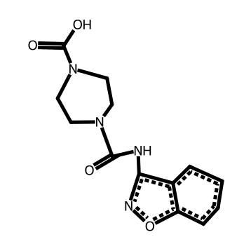 O=C(O)N1CCN(C(=O)Nc2noc3ccccc23)CC1